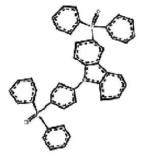 O=P(c1ccccc1)(c1ccccc1)c1ccc(-n2c3ccccc3c3cc(P(=O)(c4ccccc4)c4ccccc4)ccc32)cc1